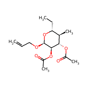 C=CCO[C@H]1O[C@H](CC)[C@@H](C)[C@H](OC(C)=O)[C@H]1OC(C)=O